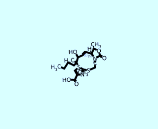 CCCCC1(C)C(O)/C=C/[C@H]2[C@H](C)OC(=O)N2CCSC2=NC(C(=O)O)=CS21C